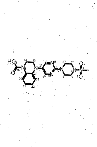 CS(=O)(=O)N1CCN(c2ncc(N3CCN(C(=O)O)c4ccccc43)cn2)CC1